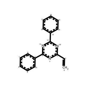 C=Cc1nc(-c2ccccc2)nc(-c2ccccc2)n1